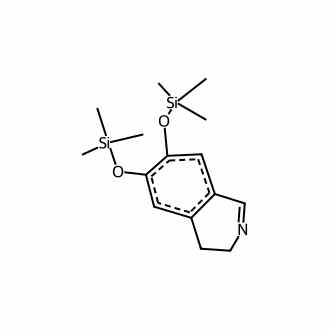 C[Si](C)(C)Oc1cc2c(cc1O[Si](C)(C)C)CCN=C2